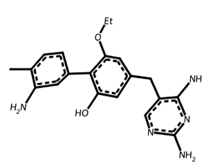 CCOc1cc(Cc2cnc(N)nc2N)cc(O)c1-c1ccc(C)c(N)c1